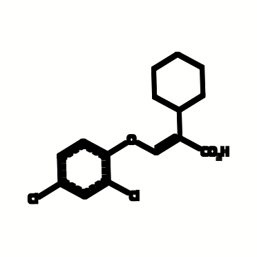 O=C(O)C(=COc1ccc(Cl)cc1Cl)C1CCCCC1